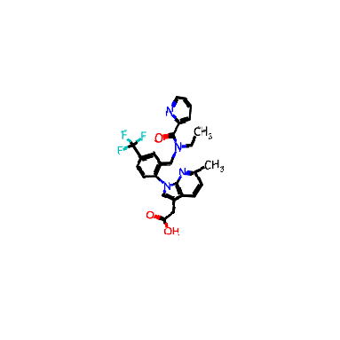 CCN(Cc1cc(C(F)(F)F)ccc1-n1cc(CC(=O)O)c2ccc(C)nc21)C(=O)c1ccccn1